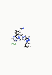 Cl.N#CCc1ccc(-c2nccnc2N2CCN(Cc3cnn(-c4ccccc4)c3)CC2)cc1